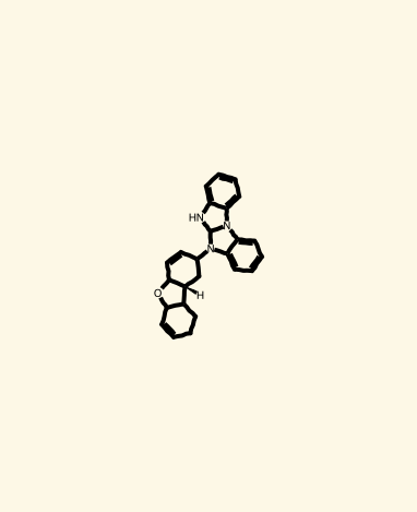 C1=CC2OC3C=CC(N4c5ccccc5N5c6ccccc6NC54)C[C@@H]3C2CC1